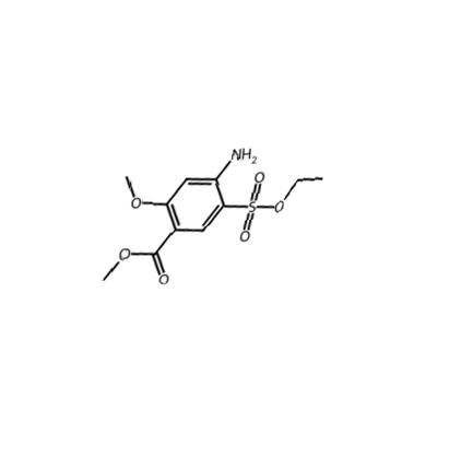 CCOS(=O)(=O)c1cc(C(=O)OC)c(OC)cc1N